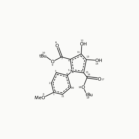 COc1ccc(-n2c(C(=O)OC(C)(C)C)c(O)c(O)c2C(=O)OC(C)(C)C)cc1